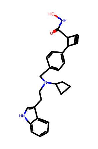 O=C(NO)C1C#CC1c1ccc(CN(CCc2c[nH]c3ccccc23)C2CCC2)cc1